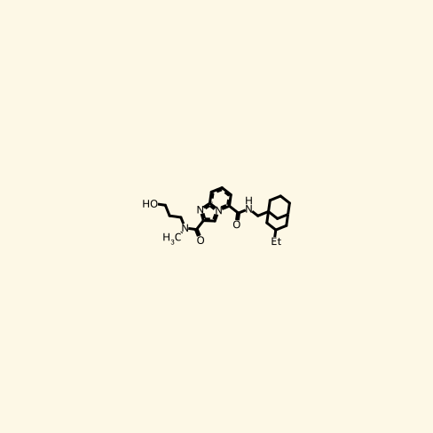 CCC1CC2CCCC(CNC(=O)c3cccc4nc(C(=O)N(C)CCCO)cn34)(C1)C2